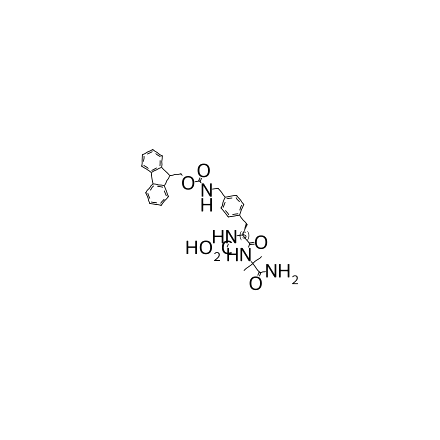 CC(C)(NC(=O)[C@H](Cc1ccc(CNC(=O)OCC2c3ccccc3-c3ccccc32)cc1)NC(=O)O)C(N)=O